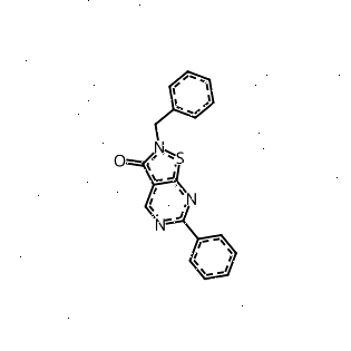 O=c1c2cnc(-c3ccccc3)nc2sn1Cc1ccccc1